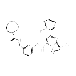 O=C(NCc1cccc(CNc2cc(-c3ccccc3Cl)nc3c(Br)cnn23)c1)C1CCCCCC1